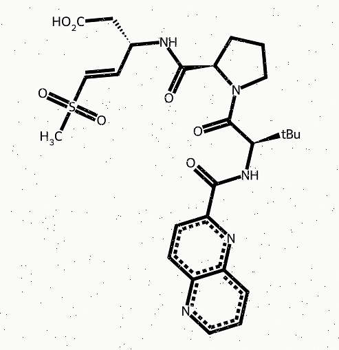 CC(C)(C)[C@@H](NC(=O)c1ccc2ncccc2n1)C(=O)N1CCC[C@@H]1C(=O)N[C@H](/C=C/S(C)(=O)=O)CC(=O)O